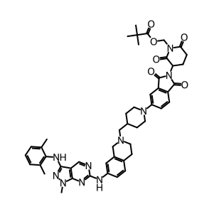 Cc1cccc(C)c1Nc1nn(C)c2nc(Nc3ccc4c(c3)CN(CC3CCN(c5ccc6c(c5)C(=O)N(C5CCC(=O)N(COC(=O)C(C)(C)C)C5=O)C6=O)CC3)CC4)ncc12